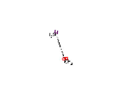 C=CC(=O)OCCCCCCCCCCCCCCCCCCC[SiH2]C(I)I